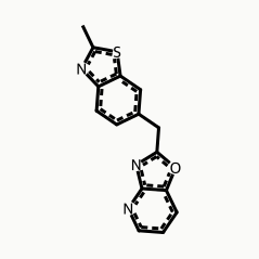 Cc1nc2ccc(Cc3nc4ncccc4o3)cc2s1